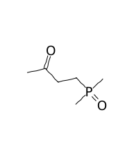 CC(=O)CCP(C)(C)=O